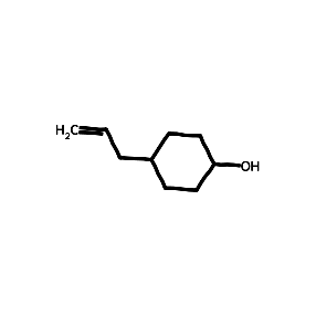 C=CCC1CCC(O)CC1